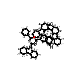 N#Cc1cc(-c2nc(-c3ccccc3)nc(-n3c4ccccc4c4ccccc43)n2)ccc1-n1c2ccccc2c2ccc3oc4ccc5c6ccccc6n(-c6ccccc6)c5c4c3c21